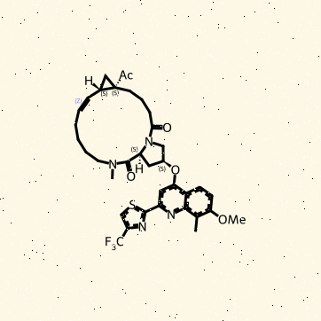 COc1ccc2c(O[C@H]3C[C@H]4C(=O)N(C)CCCC/C=C\[C@@H]5C[C@@]5(C(C)=O)CCCC(=O)N4C3)cc(-c3nc(C(F)(F)F)cs3)nc2c1C